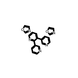 c1cncc(-c2cccnc2-c2cccnc2)c1.c1cocn1.c1cocn1